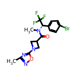 Cc1noc(N2CC(C(=O)N(C)[C@@H](c3ccc(Br)cc3)C(F)(F)F)C2)n1